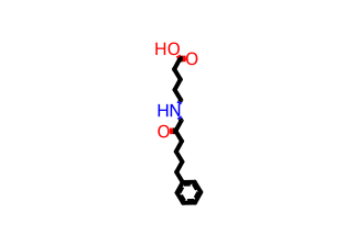 O=C(O)CCCCNCC(=O)CCCCc1ccccc1